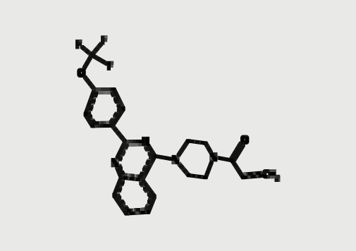 C=CC(=O)N1CCN(c2nc(-c3ccc(OC(F)(F)F)cc3)nc3ccccc23)CC1